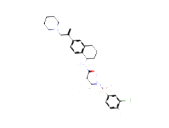 C=C(CN1CCCCC1)c1ccc2c(c1)CCC[C@H]2NC(=O)C[C@H](NS(=O)(=O)c1ccc(Cl)c(Cl)c1)C(F)(F)F